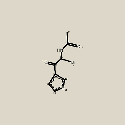 CC(=O)NC(Br)C(=O)c1ccsc1